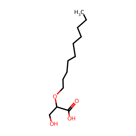 CCCCCCCCCCOC(CO)C(=O)O